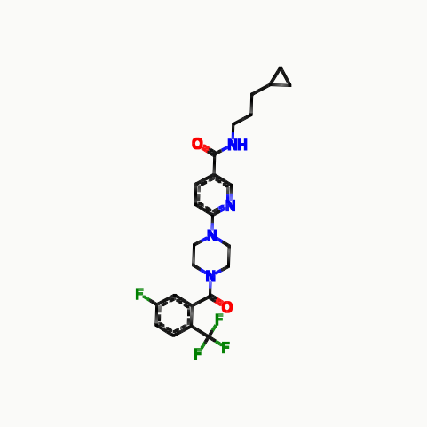 O=C(NCCCC1CC1)c1ccc(N2CCN(C(=O)c3cc(F)ccc3C(F)(F)F)CC2)nc1